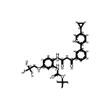 CC(C)(C)OC(=O)Nc1cc(OCC(F)(F)F)ccc1NC(=O)CC(=O)c1cccc(-c2ccc(C3CC3)cn2)c1